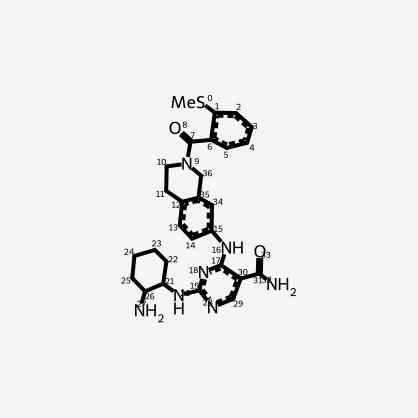 CSc1ccccc1C(=O)N1CCc2ccc(Nc3nc(NC4CCCCC4N)ncc3C(N)=O)cc2C1